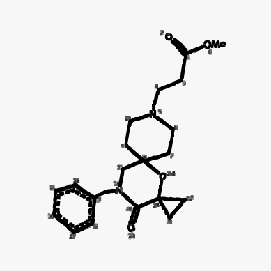 COC(=O)CCN1CCC2(CC1)CN(c1ccccc1)C(=O)C1(CC1)O2